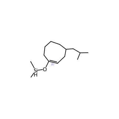 CC(C)CC1C/C=C(/O[SiH](C)C)CCCC1